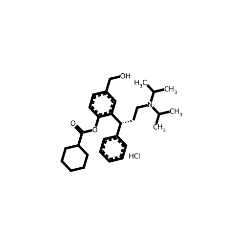 CC(C)N(CC[C@H](c1ccccc1)c1cc(CO)ccc1OC(=O)C1CCCCC1)C(C)C.Cl